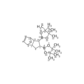 CC1(C)OB(C2CC3C4C=CC(C4)C3C2B2OC(C)(C)C(C)(C)O2)OC1(C)C